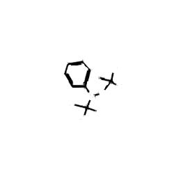 FC(Cl)(Cl)SN(c1[c]cccc1)C(F)(F)F